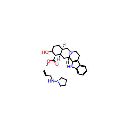 C=CCNN1CCCC1.COC(=O)[C@@H]1[C@H]2C[C@H]3c4[nH]c5ccccc5c4CCN3C[C@@H]2CC[C@@H]1O